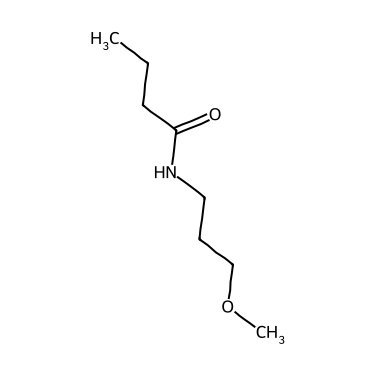 CCCC(=O)NCCCOC